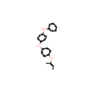 C/C=C(\C)Bc1ccc(Bc2ccc(Bc3ccccc3)cc2)cc1